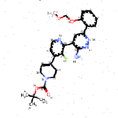 COCOc1ccccc1-c1cc(-c2nccc(C3=CCN(C(=O)OC(C)(C)C)CC3)c2F)c(N)nn1